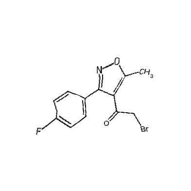 Cc1onc(-c2ccc(F)cc2)c1C(=O)CBr